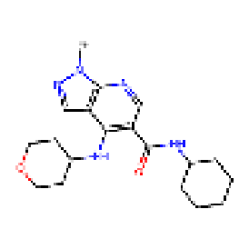 CCn1ncc2c(NC3CCOCC3)c(C(=O)NC3CCCCC3)cnc21